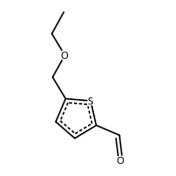 CCOCc1ccc(C=O)s1